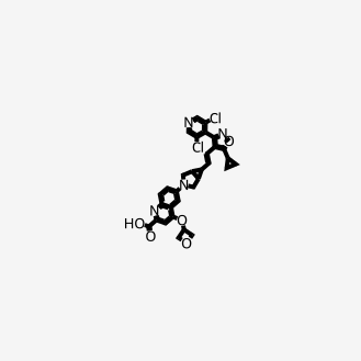 O=C(O)c1cc(OC2COC2)c2cc(N3CC4C(/C=C/c5c(-c6c(Cl)cncc6Cl)noc5C5CC5)C4C3)ccc2n1